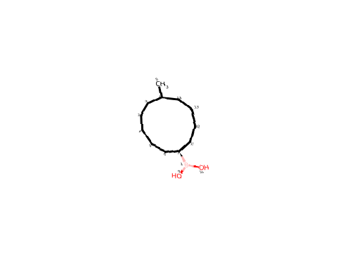 CC1CCCCC[C@H](B(O)O)CCCC1